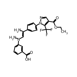 CCOC(=O)c1cnn(-c2ccc(/C(N)=C/N(N)c3cccc(C(=O)O)c3)cc2)c1C(F)(F)F